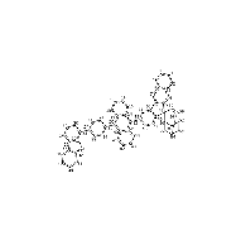 c1ccc2cc3c(cc2c1)-c1cc(-c2c4ccccc4c(-c4ccc(-c5cccc6c5sc5ccccc56)cc4)c4ccccc24)ccc1C31C2CC3CC(C2)CC1C3